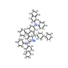 c1ccc(-c2ccc(-c3c4cc(N(c5ccccc5)c5ccc6ccccc6c5)ccc4c(-c4ccccc4)c4cc(N(c5ccccc5)c5ccc6ccccc6c5)cnc34)cc2)cc1